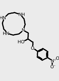 O=[N+]([O-])c1ccc(OCC(O)CN2CCNCCNCCNCC2)cc1